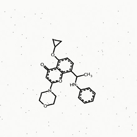 CC(Nc1ccccc1)c1ccc(OC2CC2)c2c(=O)cc(N3CCOCC3)oc12